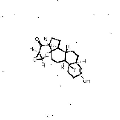 C[C@]12CC[C@@H](O)C[C@@H]1CC[C@@H]1[C@@H]2CC[C@@]23C[C@H]4O[C@H]4C(=O)[C@H]2CC[C@@H]13